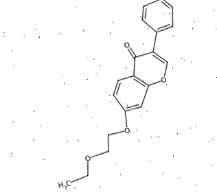 CCOCCOc1ccc2c(=O)c(-c3ccccc3)coc2c1